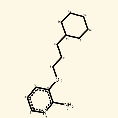 Nc1ncccc1OCCCC1CCCCC1